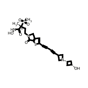 C[C@@](CCN1Cc2cc(C#CC#CC3CN([C@H]4C[C@@H](O)C4)C3)sc2C1=O)(C(=O)NO)S(C)(=O)=O